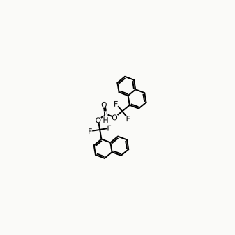 O=[PH](OC(F)(F)c1cccc2ccccc12)OC(F)(F)c1cccc2ccccc12